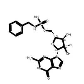 C[C@@]1(O)[C@H](O)[C@@H](COP(=O)(O)NCc2ccccc2)O[C@H]1n1cnc2c(=O)[nH]c(N)nc21